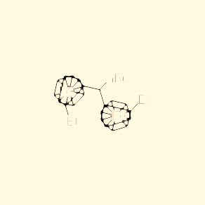 CCCCC([C]12[CH]3[CH]4[CH]5[C]1(CC)[Fe]45321678[CH]2[CH]1[CH]6[CH]7[CH]28)[C]12[CH]3[CH]4[CH]5[C]1(CC)[Fe]45321678[CH]2[CH]1[CH]6[CH]7[CH]28